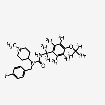 [2H]c1c([2H])c(C([2H])([2H])NC(=O)N(Cc2ccc(F)cc2)C2CCN(C)CC2)c([2H])c([2H])c1OC([2H])([2H])C(C)C